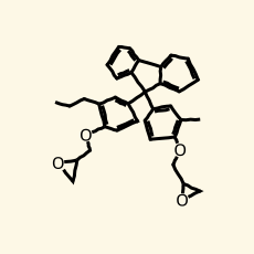 CCCc1cc(C2(c3ccc(OCC4CO4)c(C)c3)c3ccccc3-c3ccccc32)ccc1OCC1CO1